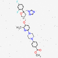 COC(=O)c1ccc(N2CCN(c3ccc(OC[C@@H]4CO[C@@](Cn5cncn5)(c5ccc(F)cc5F)C4)c(C)n3)CC2)cc1